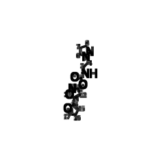 O=C(NCCn1cccn1)Oc1cc(-c2ccco2)on1